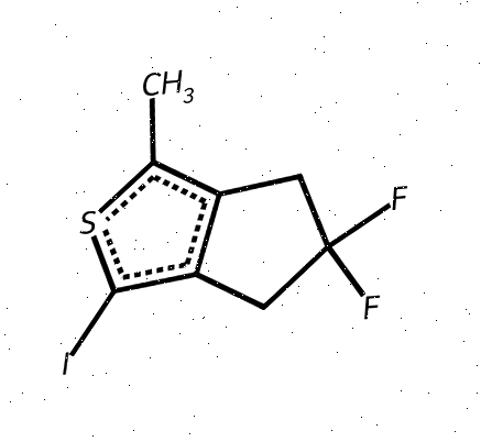 Cc1sc(I)c2c1CC(F)(F)C2